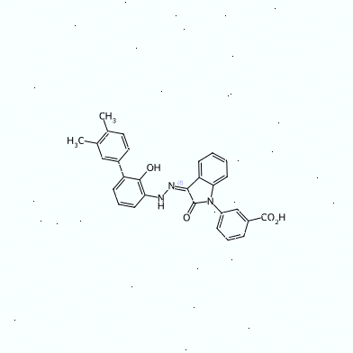 Cc1ccc(-c2cccc(N/N=C3\C(=O)N(c4cccc(C(=O)O)c4)c4ccccc43)c2O)cc1C